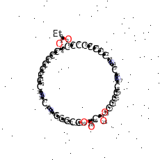 CCC(=O)OC1CCCCCCCC/C=C\C/C=C\CCCCCOC(=O)CC(=O)OCCCCC/C=C\C/C=C\CCCCCCCC1